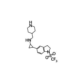 O=S(=O)(N1CCc2cc(C3CC3NCC3CCNCC3)ccc21)C(F)(F)F